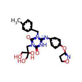 Cc1ccc(Cn2c(=O)n(CC(O)(CO)CO)c(=O)[nH]/c2=N\c2ccc(OC3=NOCC3)cc2)cc1